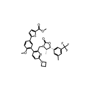 COC(=O)c1ccc(-c2ccc(OC)c(-c3ccc(N4CCC4)nc3CN3C(=O)O[C@H](c4cc(C)cc(C(F)(F)F)c4)[C@@H]3C)c2)s1